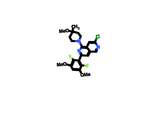 COc1cc(OC)c(F)c(-c2cc3cnc(Cl)cc3c(N3CCC(C)(OC)CC3)n2)c1F